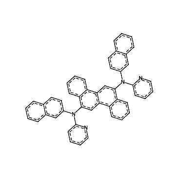 c1ccc(N(c2ccc3ccccc3c2)c2cc3c4ccccc4c(N(c4ccc5ccccc5c4)c4ccccn4)cc3c3ccccc23)nc1